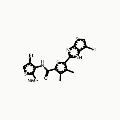 CCc1csc(NC)c1NC(=O)c1sc(-c2nc3scc(CC)c3[nH]2)c(C)c1C